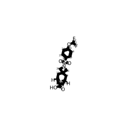 O=C(O)N1[C@@H]2CC[C@H]1CC1(C2)CN(S(=O)(=O)c2ccc(OC(F)F)cc2)C1